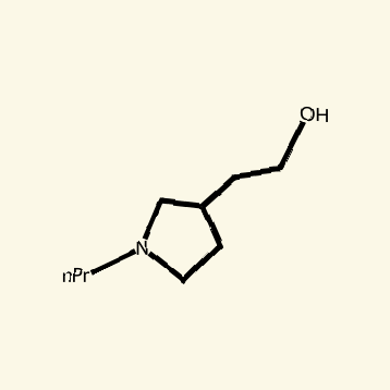 CCCN1CCC(CCO)C1